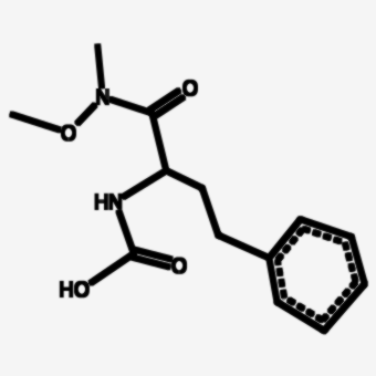 CON(C)C(=O)C(CCc1ccccc1)NC(=O)O